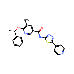 CNc1cc(C(=O)Nc2nnc(-c3ccncc3)s2)cnc1O[C@@H](C)c1ccccc1